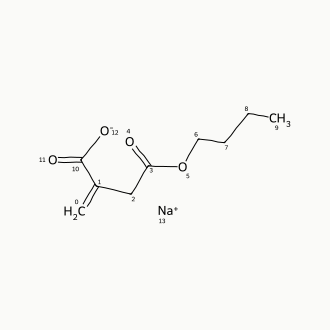 C=C(CC(=O)OCCCC)C(=O)[O-].[Na+]